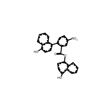 O=C(Oc1ccc(O)c2ccccc12)c1cc([N+](=O)[O-])ccc1-c1ccc(O)c2ccccc12